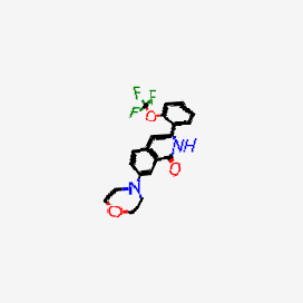 O=c1[nH]c(-c2ccccc2OC(F)(F)F)cc2ccc(N3CCOCC3)cc12